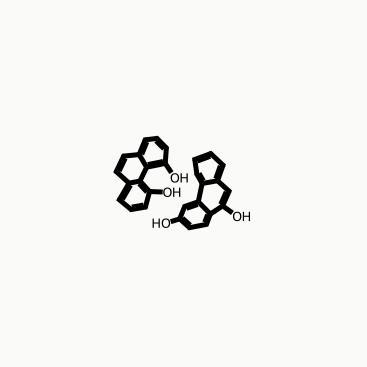 Oc1ccc2c(O)cc3ccccc3c2c1.Oc1cccc2ccc3cccc(O)c3c12